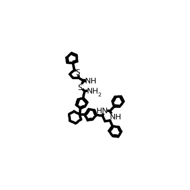 N=C(SC(N)c1ccc(C2(c3ccc(C4CC(c5ccccc5)NC(c5ccccc5)N4)cc3)CCCCC2)cc1)C1CCC(c2ccccc2)S1